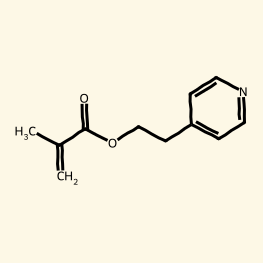 C=C(C)C(=O)OCCc1ccncc1